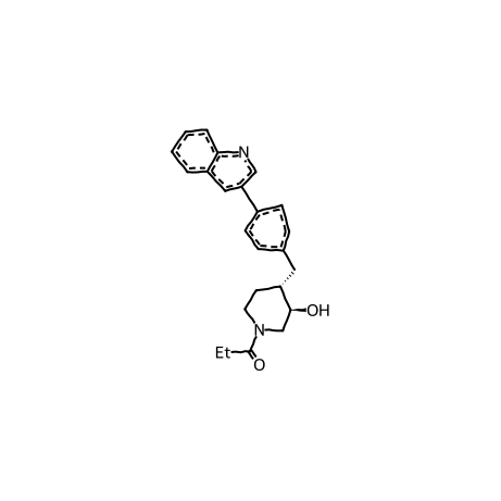 CCC(=O)N1CC[C@H](Cc2ccc(-c3cnc4ccccc4c3)cc2)[C@@H](O)C1